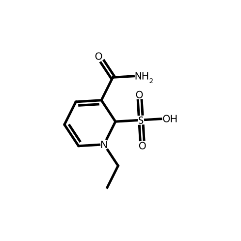 CCN1C=CC=C(C(N)=O)C1S(=O)(=O)O